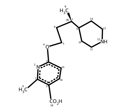 Cc1nc(OCC[C@@H](C)C2CCNCC2)ccc1C(=O)O